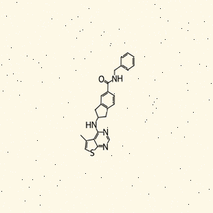 Cc1csc2ncnc(NC3Cc4ccc(C(=O)NCc5ccccc5)cc4C3)c12